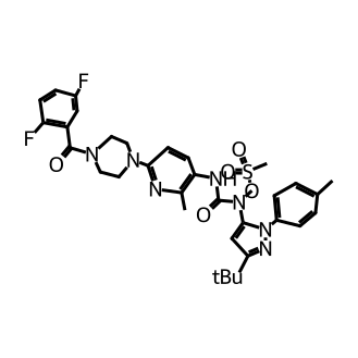 Cc1ccc(-n2nc(C(C)(C)C)cc2N(OS(C)(=O)=O)C(=O)Nc2ccc(N3CCN(C(=O)c4cc(F)ccc4F)CC3)nc2C)cc1